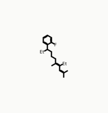 CC/C(C=C(C)C)=C(/C)CCCC(CC)c1ccccc1F